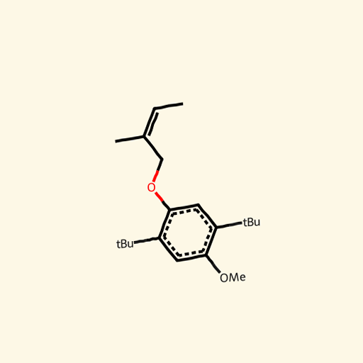 C/C=C(/C)COc1cc(C(C)(C)C)c(OC)cc1C(C)(C)C